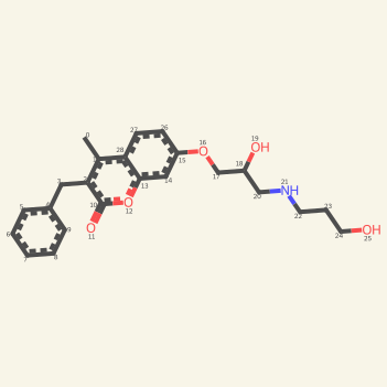 Cc1c(Cc2ccccc2)c(=O)oc2cc(OCC(O)CNCCCO)ccc12